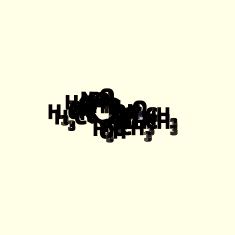 CCn1c(-c2cnccc2COC)c2c3cc(ccc31)-c1cc(O)cc(c1)C[C@H](NC(=O)[C@H](C(C)C)N(C)C(=O)[C@H]1CCN(C(=O)/C=C/CN(C)C)C1)C(=O)N1CCC[C@H](N1)C(=O)OCC(C)(C)C2